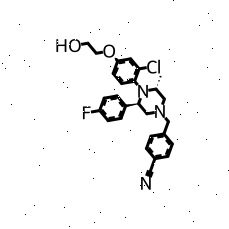 C[C@@H]1CN(Cc2ccc(C#N)cc2)C[C@@H](c2ccc(F)cc2)N1c1ccc(OCCO)cc1Cl